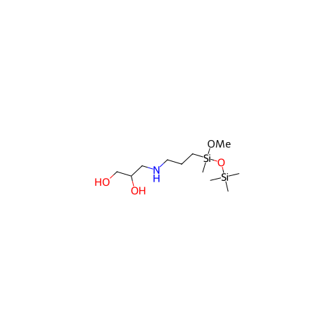 CO[Si](C)(CCCNCC(O)CO)O[Si](C)(C)C